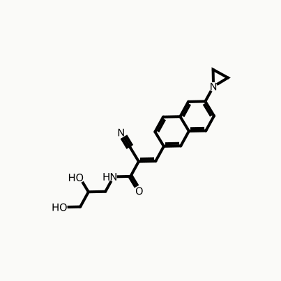 N#C/C(=C\c1ccc2cc(N3CC3)ccc2c1)C(=O)NCC(O)CO